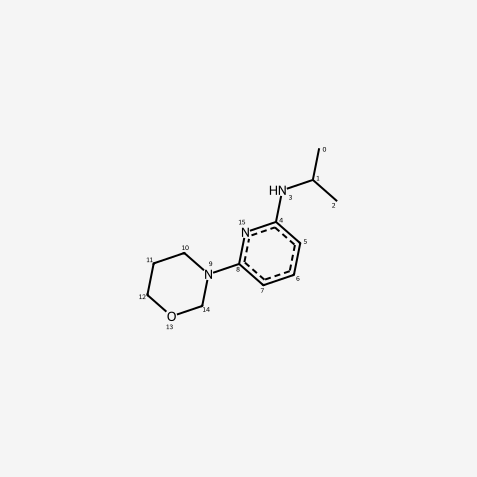 CC(C)Nc1cccc(N2CCCOC2)n1